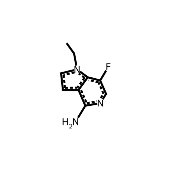 CCn1ccc2c(N)ncc(F)c21